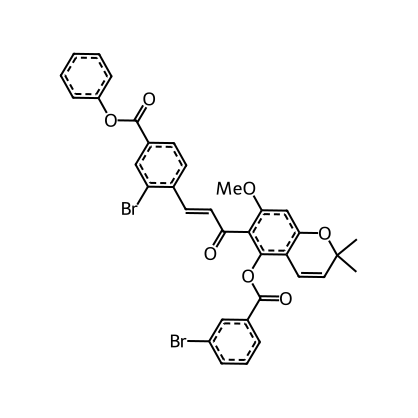 COc1cc2c(c(OC(=O)c3cccc(Br)c3)c1C(=O)C=Cc1ccc(C(=O)Oc3ccccc3)cc1Br)C=CC(C)(C)O2